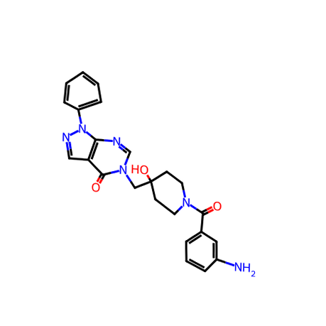 Nc1cccc(C(=O)N2CCC(O)(Cn3cnc4c(cnn4-c4ccccc4)c3=O)CC2)c1